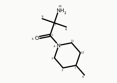 CC1CCN(C(=O)C(C)(C)N)CC1